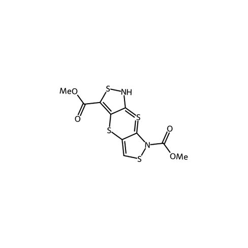 COC(=O)C1=C2SC3=CSN(C(=O)OC)C3=S=C2NS1